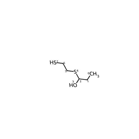 CCC(O)SCCS